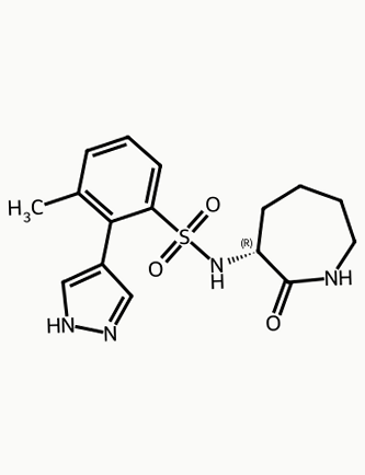 Cc1cccc(S(=O)(=O)N[C@@H]2CCCCNC2=O)c1-c1cn[nH]c1